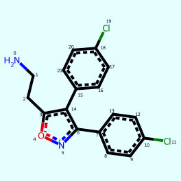 NCCc1onc(-c2ccc(Cl)cc2)c1-c1ccc(Cl)cc1